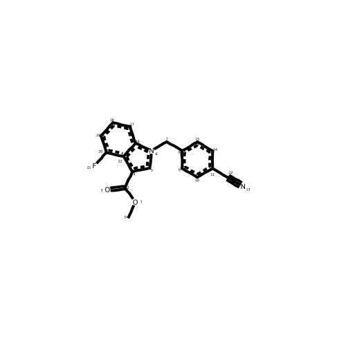 COC(=O)c1cn(Cc2ccc(C#N)cc2)c2cccc(F)c12